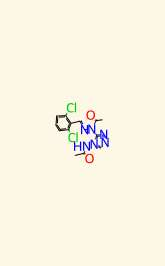 CC(=O)Nn1cnnc1N(N=Cc1c(Cl)cccc1Cl)C(C)=O